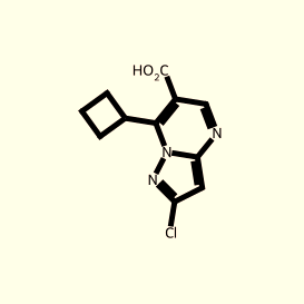 O=C(O)c1cnc2cc(Cl)nn2c1C1CCC1